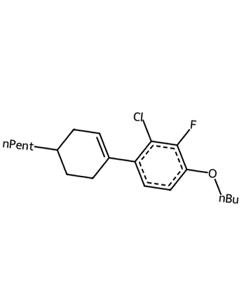 CCCCCC1CC=C(c2ccc(OCCCC)c(F)c2Cl)CC1